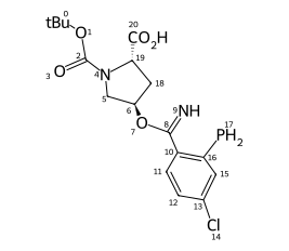 CC(C)(C)OC(=O)N1C[C@H](OC(=N)c2ccc(Cl)cc2P)C[C@H]1C(=O)O